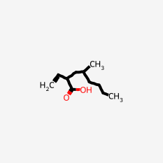 C=CC(CC(C)CCCC)C(=O)O